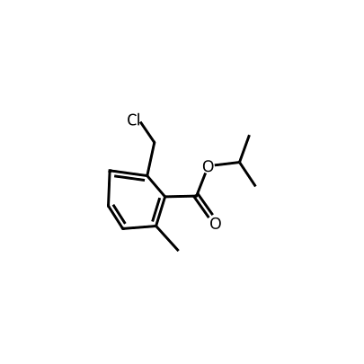 Cc1cccc(CCl)c1C(=O)OC(C)C